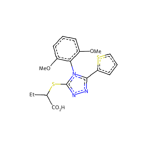 CCC(Sc1nnc(-c2cccs2)n1-c1c(OC)cccc1OC)C(=O)O